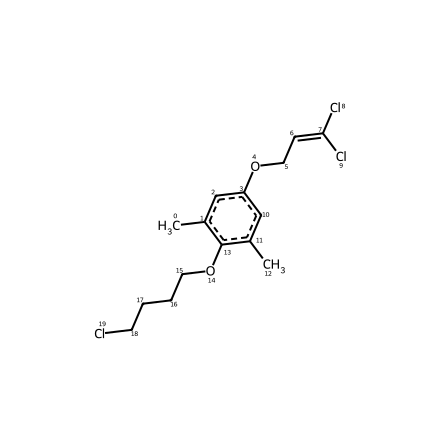 Cc1cc(OCC=C(Cl)Cl)cc(C)c1OCCCCCl